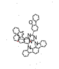 c1ccc(-c2cccc(-n3c4ccccc4c4ccc5c6ccccc6n(-c6nc(-c7ccc8c(c7)oc7ccccc78)nc(-c7cccc8c7sc7ccccc78)n6)c5c43)c2)cc1